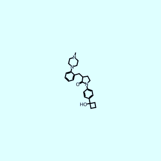 CN1CCN(c2ccccc2CC2CCN(c3ccc(C4(O)CCC4)cc3)C2=O)CC1